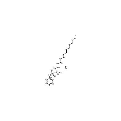 CCCCCCCCCCCCCCCC(CC)[N+](C)(C)Oc1ccccc1.[F-]